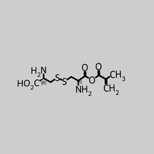 C=C(C)C(=O)OC(=O)[C@@H](N)CSSC[C@H](N)C(=O)O